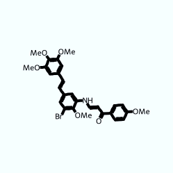 COc1ccc(C(=O)C=CNc2cc(C=Cc3cc(OC)c(OC)c(OC)c3)cc(Br)c2OC)cc1